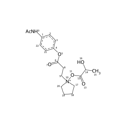 CC(=O)Nc1ccc(OC(=O)CC[N+]2(OC(=O)C(C)O)CCCC2)cc1